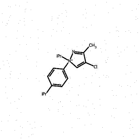 CC1=N[N+](c2ccc(C(C)C)cc2)(C(C)C)C=C1Cl